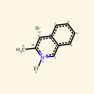 CC[n+]1cc2ccccc2cc1C.[Br-]